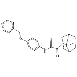 O=C(Nc1ccc(OCc2ccccc2)cc1)C(=O)C12CC3CC(CC(C3)C1)C2